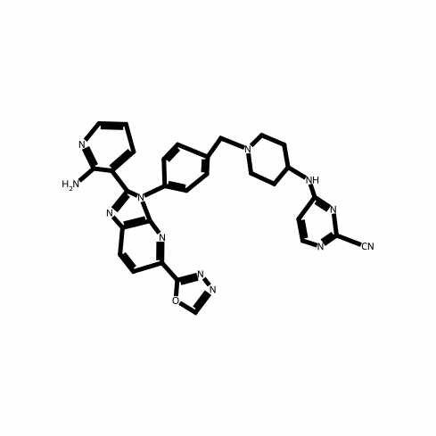 N#Cc1nccc(NC2CCN(Cc3ccc(-n4c(-c5cccnc5N)nc5ccc(-c6nnco6)nc54)cc3)CC2)n1